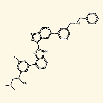 CN(C)CC(N)c1cc(F)cc(-c2ccnc3[nH]c(-c4n[nH]c5cnc(-c6cncc(CNCc7ccccc7)c6)cc45)nc23)c1